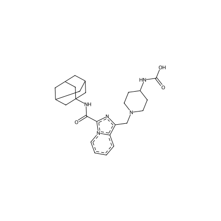 O=C(O)NC1CCN(Cc2nc(C(=O)NC34CC5CC(CC(C5)C3)C4)n3ccccc23)CC1